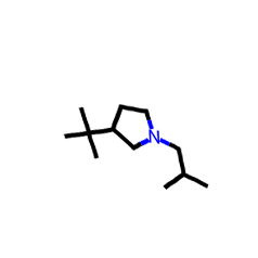 CC(C)CN1CCC(C(C)(C)C)C1